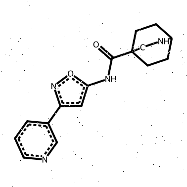 O=C(Nc1cc(-c2cccnc2)no1)C12CCC(CC1)NC2